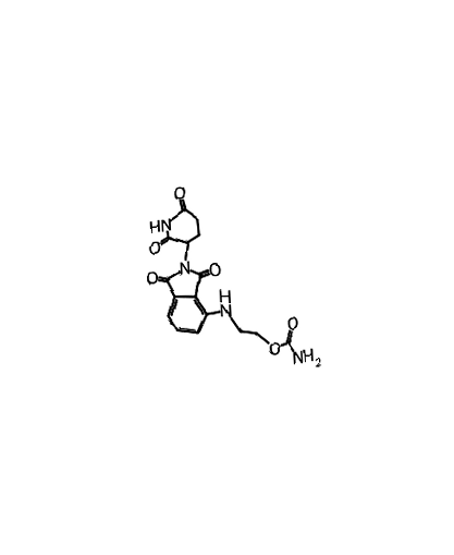 NC(=O)OCCNc1cccc2c1C(=O)N(C1CCC(=O)NC1=O)C2=O